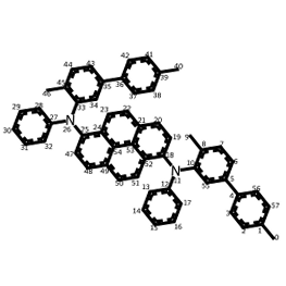 Cc1ccc(-c2ccc(C)c(N(c3ccccc3)c3ccc4ccc5c(N(c6ccccc6)c6cc(-c7ccc(C)cc7)ccc6C)ccc6ccc3c4c65)c2)cc1